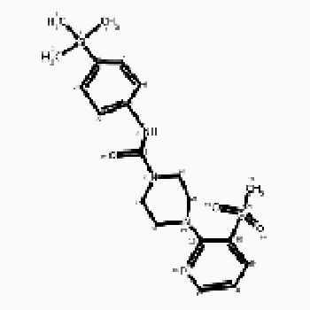 C[Si](C)(C)c1ccc(NC(=O)N2CCN(c3ncccc3S(C)(=O)=O)CC2)cc1